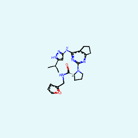 CC(C)c1cc(Nc2nc(N3CCC[C@@H]3C(=O)NCc3ccco3)nc3c2CCC3)n[nH]1